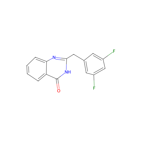 O=c1[nH]c(Cc2cc(F)cc(F)c2)nc2ccccc12